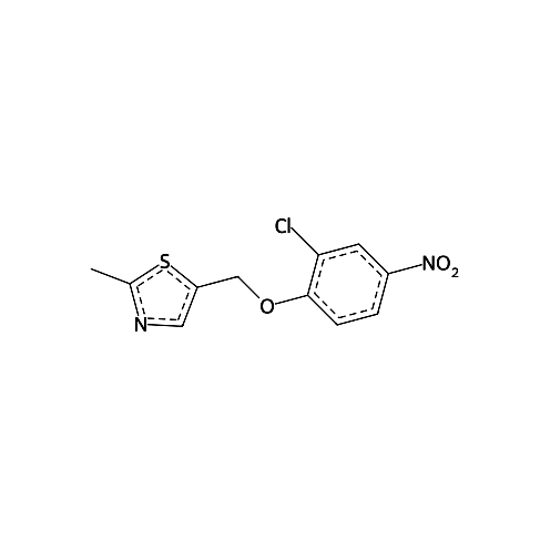 Cc1ncc(COc2ccc([N+](=O)[O-])cc2Cl)s1